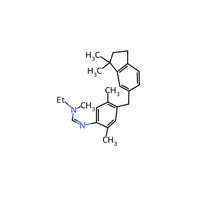 CCN(C)/C=N\c1cc(C)c(Cc2ccc3c(c2)C(C)(C)CC3)cc1C